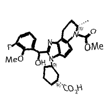 COC(=O)N1c2ccc3c(nc(C(O)c4cccc(F)c4OC)n3[C@@H]3CCC[C@@H](C(=O)O)C3)c2CC[C@@H]1C